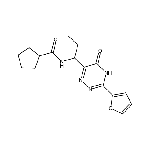 CCC(NC(=O)C1CCCC1)c1nnc(-c2ccco2)[nH]c1=O